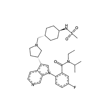 CCN(C(=O)c1cc(F)ccc1-n1cc([C@@H]2CCN(C[C@H]3CC[C@H](NS(C)(=O)=O)CC3)C2)c2ccncc21)C(C)C